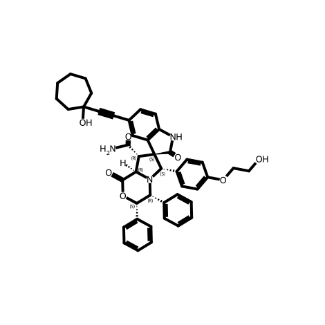 NC(=O)[C@H]1[C@@H]2C(=O)O[C@@H](c3ccccc3)[C@@H](c3ccccc3)N2[C@@H](c2ccc(OCCO)cc2)[C@]12C(=O)Nc1ccc(C#CC3(O)CCCCCC3)cc12